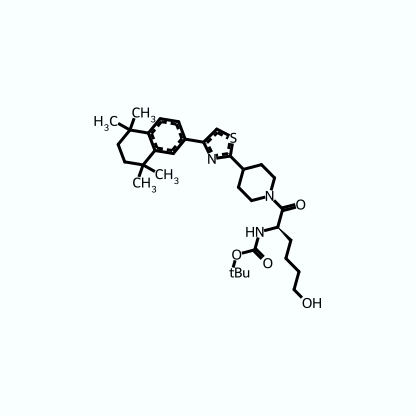 CC(C)(C)OC(=O)N[C@H](CCCCO)C(=O)N1CCC(c2nc(-c3ccc4c(c3)C(C)(C)CCC4(C)C)cs2)CC1